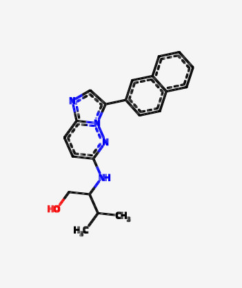 CC(C)C(CO)Nc1ccc2ncc(-c3ccc4ccccc4c3)n2n1